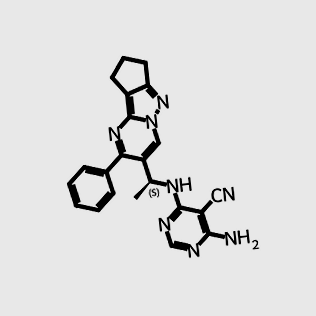 C[C@H](Nc1ncnc(N)c1C#N)c1cn2nc3c(c2nc1-c1ccccc1)CCC3